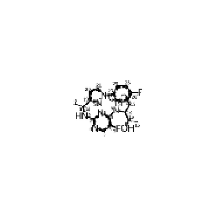 C[C@H](Nc1ncc(F)c(N2C(=O)OCC2[C@@H](C)O)n1)c1ccn(-c2ccc(F)cc2)n1